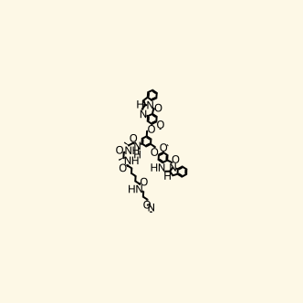 C=NOCCCNC(=O)CCCCC(=O)N[C@@H](C)C(=O)N[C@@H](C)C(=O)Nc1cc(COc2cc3c(cc2OC)C(=O)N2c4ccccc4C[C@H]2C=N3)cc(COc2cc3c(cc2OC)C(=O)N2c4ccccc4C[C@H]2CN3)c1